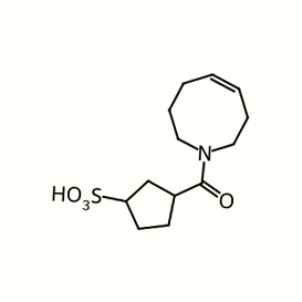 O=C(C1CCC(S(=O)(=O)O)C1)N1CC/C=C\CCC1